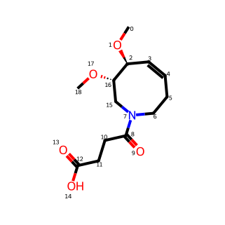 CO[C@H]1/C=C\CCN(C(=O)CCC(=O)O)C[C@@H]1OC